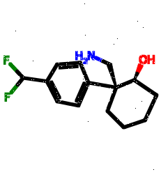 NC[C@]1(c2ccc(C(F)F)cc2)CCCC[C@@H]1O